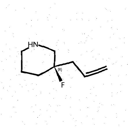 C=CC[C@]1(F)CCCNC1